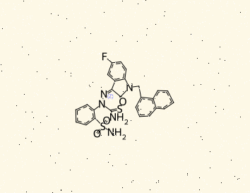 NC(=S)N(/N=C1\C(=O)N(Cc2cccc3ccccc23)c2ccc(F)cc21)c1ccccc1S(N)(=O)=O